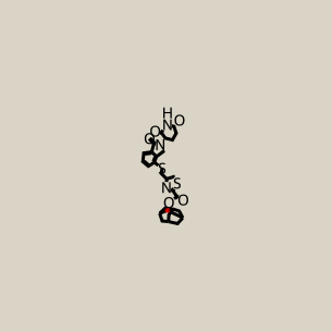 O=C1CCC(N2Cc3c(SCC4CSC(C(=O)OC56CC7CC(CC(C7)C5)C6)=N4)cccc3C2=O)C(=O)N1